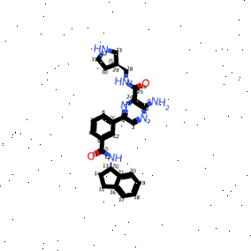 Nc1ncc(-c2cccc(C(=O)N[C@H]3CCc4ccccc43)c2)nc1C(=O)NC[C@H]1CCNC1